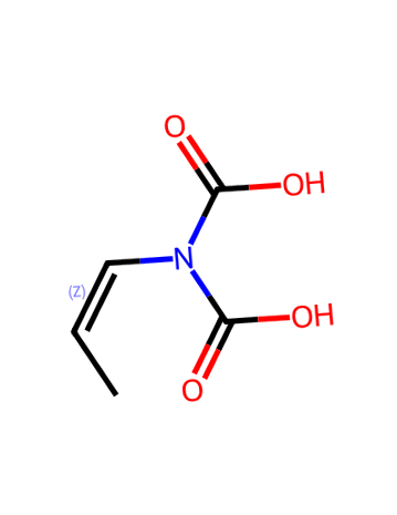 C/C=C\N(C(=O)O)C(=O)O